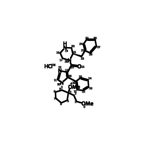 COCCC1(OC)CCCC[C@@H]1n1cnc(C(=O)N2CCNC[C@H]2Cc2ccccc2)c1-c1ccccc1.Cl